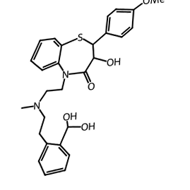 COc1ccc(C2Sc3ccccc3N(CCN(C)CCc3ccccc3C(O)O)C(=O)C2O)cc1